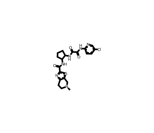 CN1CCc2nc(C(=O)NC3CCCC3NC(=O)C(=O)Nc3ccc(Cl)cn3)sc2C1